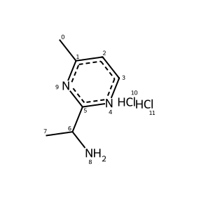 Cc1ccnc(C(C)N)n1.Cl.Cl